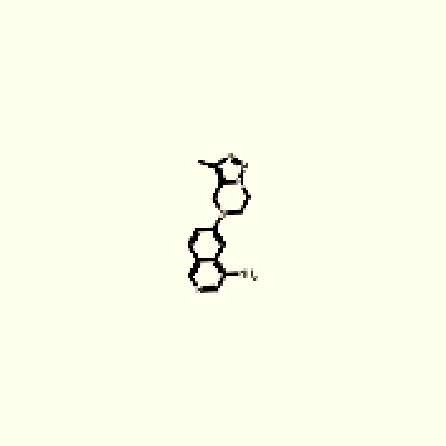 Cc1nnn2c1CN(c1ccc3cncc(N)c3c1)CC2